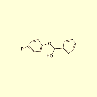 OC(Oc1ccc(F)cc1)c1ccccc1